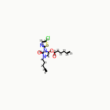 C#CCCCN1CC(OC(=O)CCCC=C)N(c2ncc(Cl)s2)C1=O